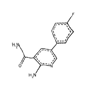 NC(=O)c1cc(-c2ccc(F)cc2)cnc1N